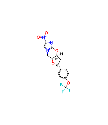 O=[N+]([O-])c1cn2c(n1)O[C@H]1C[C@H](c3ccc(OC(F)(F)F)cc3)OC1C2